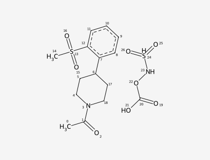 CC(=O)N1CCC(c2ccccc2S(C)(=O)=O)CC1.O=C(O)ON[SH](=O)=O